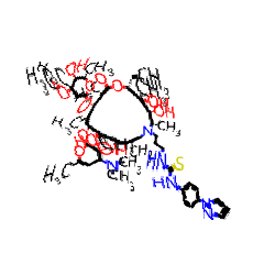 CC[C@H]1OC(=O)[C@H](C)[C@@H](O[C@H]2C[C@@](C)(OC)[C@@H](O)[C@H](C)O2)[C@H](C)[C@@H](O[C@@H]2O[C@H](C)C[C@H](N(C)C)[C@H]2O)[C@](C)(O)C[C@@H](C)CN(CCCNC(=S)Nc2ccc(-n3cccn3)cc2)[C@H](C)[C@@H](O)[C@]1(C)O